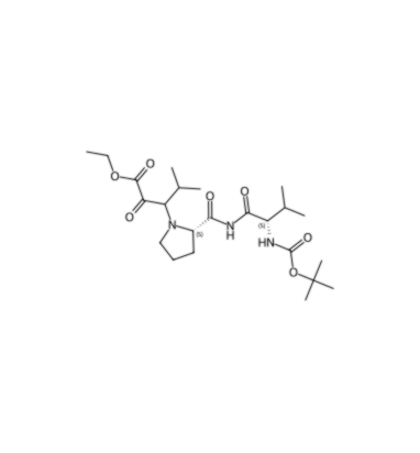 CCOC(=O)C(=O)C(C(C)C)N1CCC[C@H]1C(=O)NC(=O)[C@@H](NC(=O)OC(C)(C)C)C(C)C